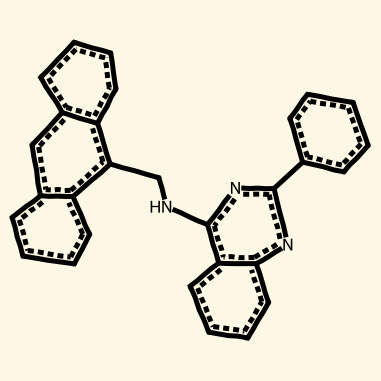 c1ccc(-c2nc(NCc3c4ccccc4cc4ccccc34)c3ccccc3n2)cc1